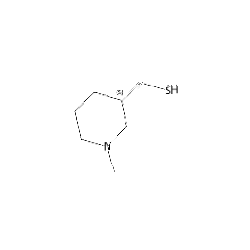 CN1CCC[C@H](CS)C1